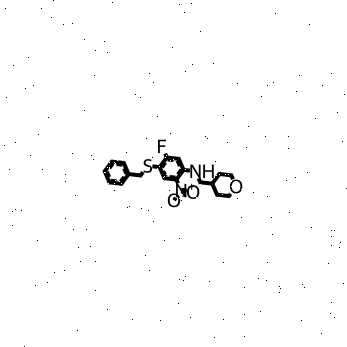 O=[N+]([O-])c1cc(SCc2ccccc2)c(F)cc1NCC1CCOCC1